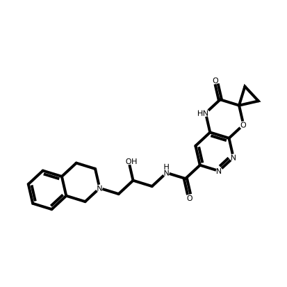 O=C(NCC(O)CN1CCc2ccccc2C1)c1cc2c(nn1)OC1(CC1)C(=O)N2